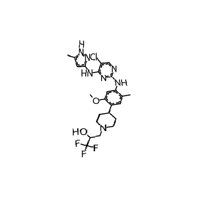 COc1cc(Nc2ncc(Cl)c(Nc3cc(C)[nH]n3)n2)c(C)cc1C1CCN(CC(O)C(F)(F)F)CC1